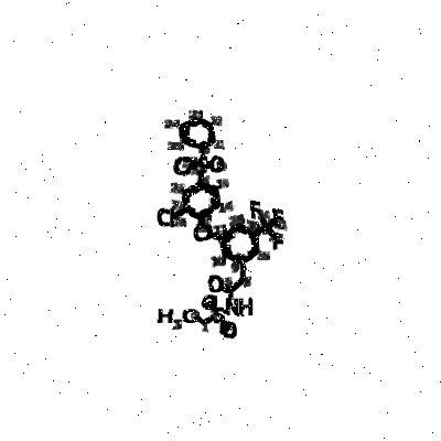 CCS(=O)(=O)NC(=O)Cc1cc(Oc2ccc(S(=O)(=O)c3ccccc3)cc2Cl)cc(C(F)(F)F)c1